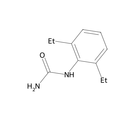 CCc1cccc(CC)c1NC(N)=O